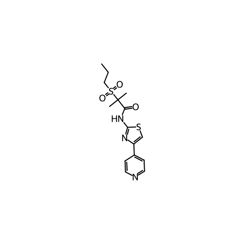 CCCS(=O)(=O)C(C)(C)C(=O)Nc1nc(-c2ccncc2)cs1